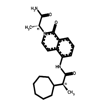 C[C@H](C(=O)Nc1cccc2c(=O)n([C@H](C)C(N)=O)ccc12)C1CCCCCC1